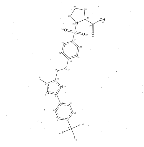 Cc1oc(-c2ccc(C(F)(F)F)cc2)nc1CSc1ccc(S(=O)(=O)N2CCCC2C(=O)O)cc1